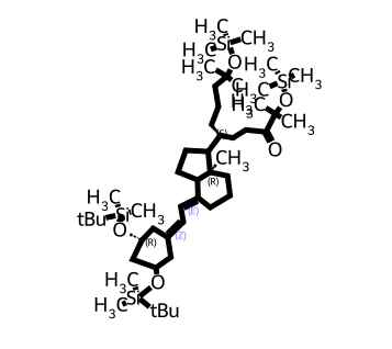 CC(C)(CCC[C@@H](CCC(=O)C(C)(C)O[Si](C)(C)C)C1CCC2/C(=C/C=C3/CC(O[Si](C)(C)C(C)(C)C)C[C@H](O[Si](C)(C)C(C)(C)C)C3)CCC[C@@]21C)O[Si](C)(C)C